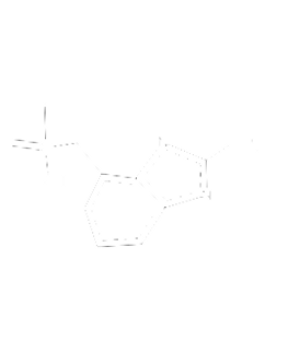 O=C(O)c1nc2c(CP(=O)(O)O)cccc2[nH]1